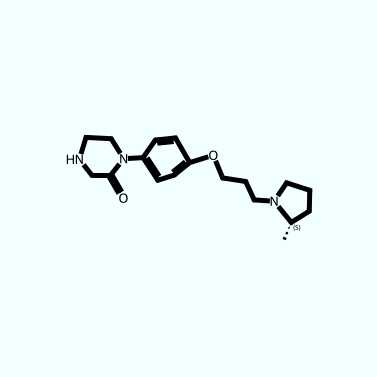 C[C@H]1CCCN1CCCOc1ccc(N2CCNCC2=O)cc1